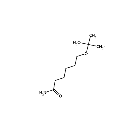 [CH2]C(C)(C)OCCCCCC(N)=O